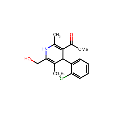 CCOC(=O)C1=C(CO)NC(C)=C(C(=O)OC)C1c1ccccc1Cl